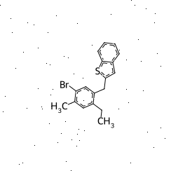 CCc1cc(C)c(Br)cc1Cc1cc2ccccc2s1